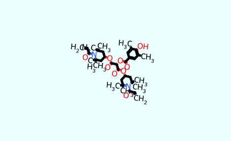 C=CC(=O)N1C(C)(C)CC(OC(=O)C(OC(=O)c2cc(C)c(O)c(C)c2)C(=O)OC2CC(C)(C)N(C(=O)C=C)C(C)(C)C2)CC1(C)C